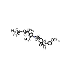 Cc1cc(N(C)C(=O)OCCN(C)C)ccc1/C=C/S(=O)(=O)N1CCC2(CC1)N=C(c1cccc(OC(F)(F)F)c1)NC2=O